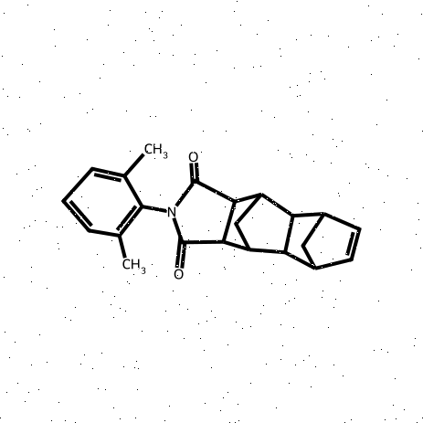 Cc1cccc(C)c1N1C(=O)C2C3CC(C2C1=O)C1C2C=CC(C2)C31